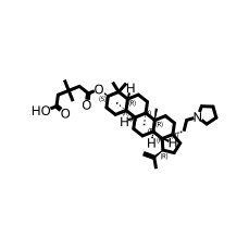 C=C(C)[C@@H]1CC[C@]2(CCN3CCCC3)CC[C@]3(C)[C@H](CC[C@@H]4[C@@]5(C)CC[C@H](OC(=O)CC(C)(C)CC(=O)O)C(C)(C)[C@@H]5CC[C@]43C)[C@@H]12